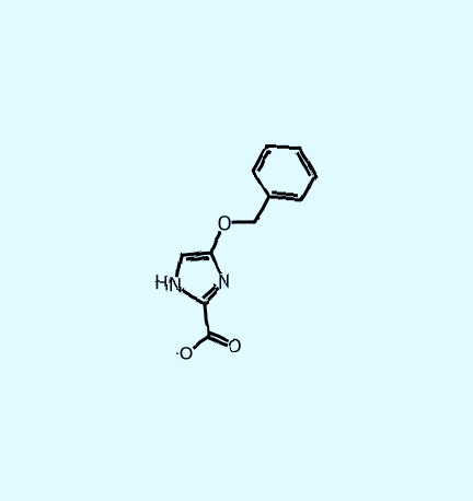 [O]C(=O)c1nc(OCc2ccccc2)c[nH]1